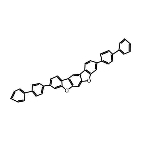 c1ccc(-c2ccc(-c3ccc4c(c3)oc3cc5oc6cc(-c7ccc(-c8ccccc8)cc7)ccc6c5cc34)cc2)cc1